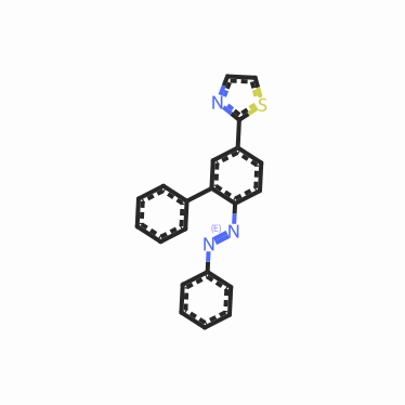 c1ccc(/N=N/c2ccc(-c3nccs3)cc2-c2ccccc2)cc1